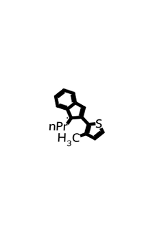 CCC[C]1C(c2sccc2C)=Cc2ccccc21